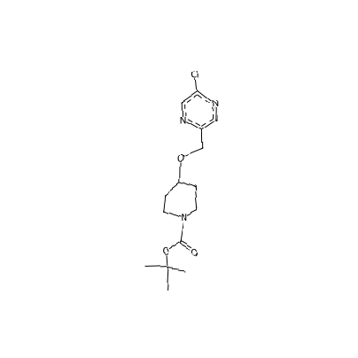 CC(C)(C)OC(=O)N1CCC(OCc2cnc(Cl)cn2)CC1